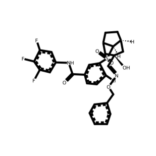 O=C(Nc1cc(F)c(F)c(F)c1)c1ccc(Cl)c(S(=O)(=O)[C@H]2C3CC[C@H]2C[C@](O)(/C=N/OCc2ccccc2)C3)c1